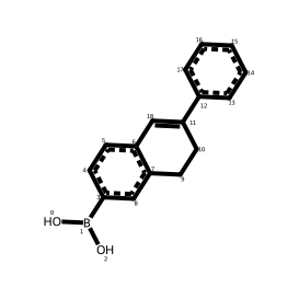 OB(O)c1ccc2c(c1)CCC(c1ccccc1)=C2